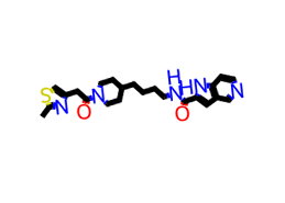 Cc1nc(CC(=O)N2CCC(CCCCNC(=O)c3cc4cnccc4[nH]3)CC2)cs1